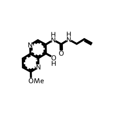 C=CCNC(=O)Nc1cnc2ccc(OC)nc2c1O